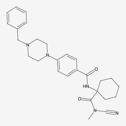 CN(C#N)C(=O)C1(NC(=O)c2ccc(N3CCN(Cc4ccccc4)CC3)cc2)CCCCC1